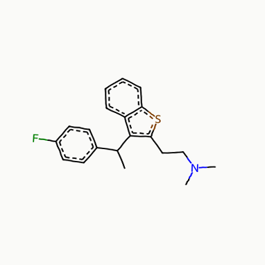 CC(c1ccc(F)cc1)c1c(CCN(C)C)sc2ccccc12